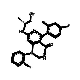 Cc1cc(F)ccc1-c1nc(N[C@H](C)CO)nc2c1C(=O)NCN2c1ccccc1F